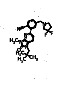 Cn1c(=O)n(CC(C)(C)C)c2ccc(-c3cc(CN4CCC(F)(F)C4)ccc3C#N)nc21